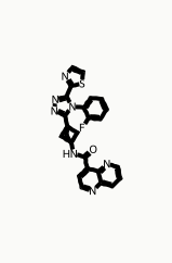 O=C(NC12CC(c3nnc(-c4nccs4)n3-c3ccccc3F)(C1)C2)c1ccnc2cccnc12